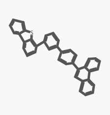 c1cc(-c2ccc(-c3cc4ccccc4c4ccccc34)cc2)cc(-c2cccc3c2sc2ccccc23)c1